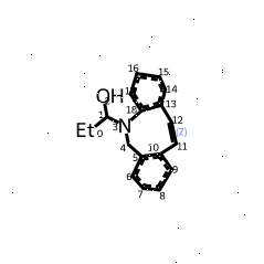 CCC(O)N1Cc2ccccc2/C=C\c2ccccc21